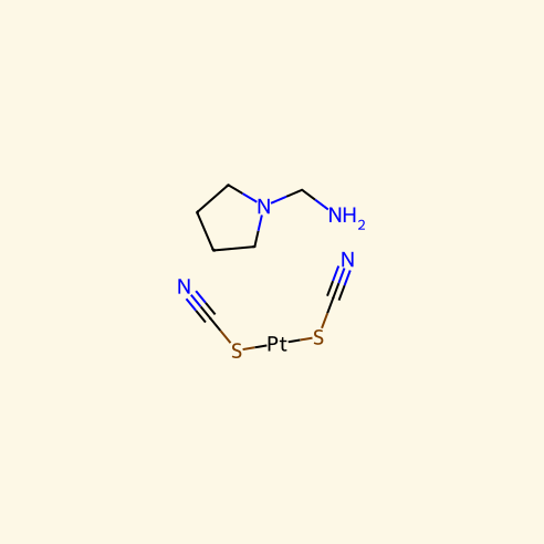 N#C[S][Pt][S]C#N.NCN1CCCC1